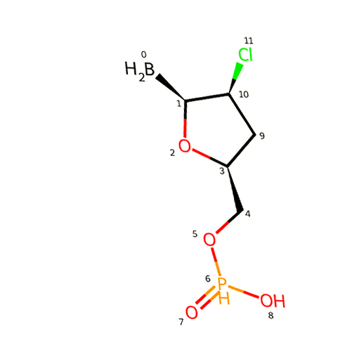 B[C@@H]1O[C@H](CO[PH](=O)O)C[C@@H]1Cl